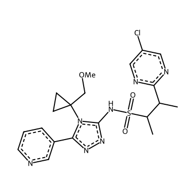 COCC1(n2c(NS(=O)(=O)C(C)C(C)c3ncc(Cl)cn3)nnc2-c2cccnc2)CC1